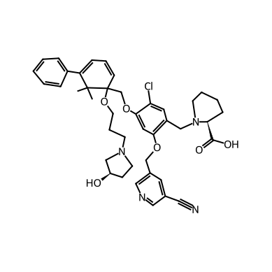 CC1(C)C(c2ccccc2)=CC=CC1(COc1cc(OCc2cncc(C#N)c2)c(CN2CCCC[C@H]2C(=O)O)cc1Cl)OCCCN1CC[C@@H](O)C1